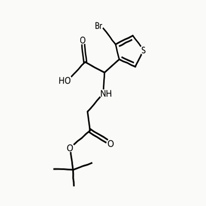 CC(C)(C)OC(=O)CNC(C(=O)O)c1cscc1Br